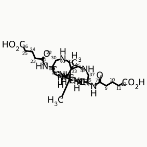 CC1CNC[C@]2(NC(=O)CCCC(=O)O)CNC[C@H]3NC[C@](NC(=O)CCCC(=O)O)(CNC1)CNCC3(C)CNC2